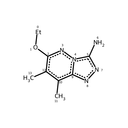 CCOc1nn2c(N)nnc2c(C)c1C